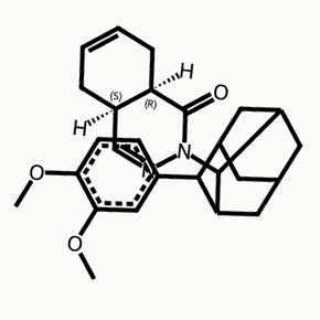 COc1ccc(C2C3CC4CC(C3)C(N3N=C[C@H]5CC=CC[C@H]5C3=O)C2C4)cc1OC